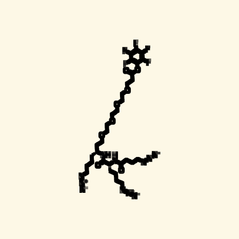 [N-]=[N+]=NCCCC[C@H](CCOCCOCCOCCOCCC(=O)Oc1c(F)c(F)c(F)c(F)c1F)NC(=O)[C@@H](CCCCN=[N+]=[N-])NC(=O)CCCN=[N+]=[N-]